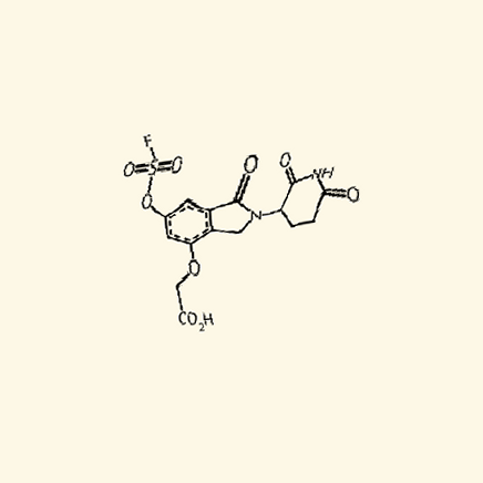 O=C(O)COc1cc(OS(=O)(=O)F)cc2c1CN(C1CCC(=O)NC1=O)C2=O